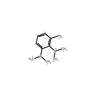 CN(C)c1cccc(P)c1N(C)C